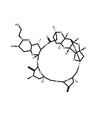 C=C1C[C@@H]2CC[C@@]34C[C@H]5O[C@H]6C(O3)[C@H]3O[C@H](CC[C@@H]3O[C@H]6C5O4)CC(=O)OC3[C@@H](C)C4O[C@H](CCO)[C@H](O)CC4O[C@H]3CC3O[C@@H](CCC1O2)C[C@@H](C)C3=C